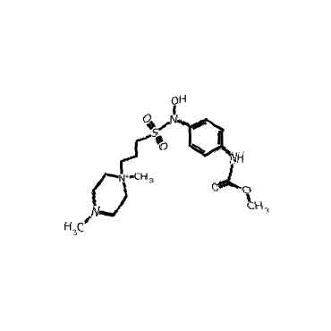 COC(=O)Nc1ccc(N(O)S(=O)(=O)CCC[N+]2(C)CCN(C)CC2)cc1